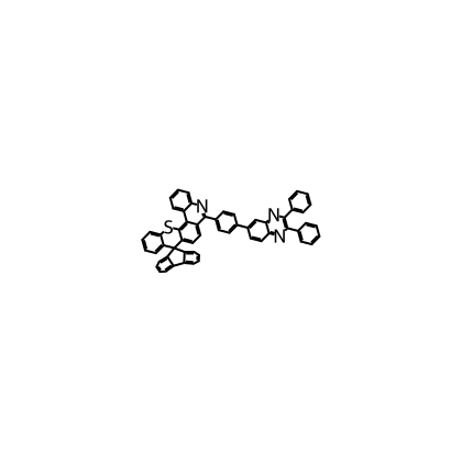 c1ccc(-c2nc3ccc(-c4ccc(-c5nc6ccccc6c6c7c(ccc56)C5(c6ccccc6S7)c6ccccc6-c6ccccc65)cc4)cc3nc2-c2ccccc2)cc1